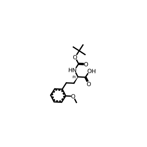 COc1ccccc1CC[C@@H](NC(=O)OC(C)(C)C)C(=O)O